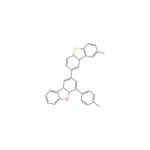 Cc1ccc(C2=CC(C3=CC4c5cc(C)ccc5SC4C=C3)=CC3c4ccccc4OC23)cc1